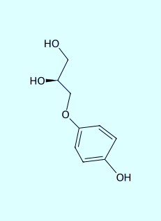 OC[C@H](O)COc1ccc(O)cc1